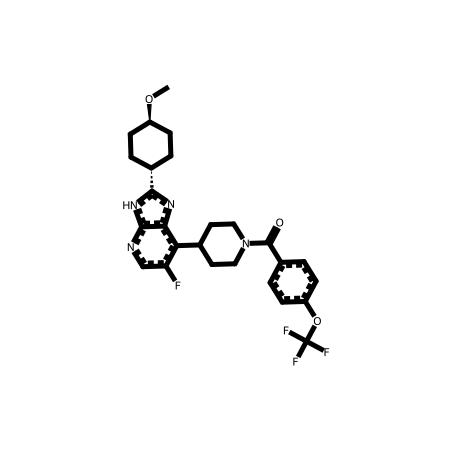 CO[C@H]1CC[C@H](c2nc3c(C4CCN(C(=O)c5ccc(OC(F)(F)F)cc5)CC4)c(F)cnc3[nH]2)CC1